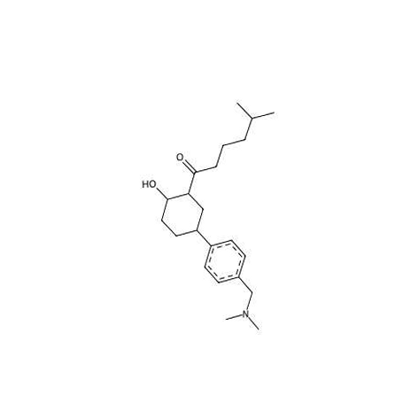 CC(C)CCCC(=O)C1CC(c2ccc(CN(C)C)cc2)CCC1O